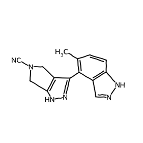 Cc1ccc2[nH]ncc2c1-c1n[nH]c2c1CN(C#N)C2